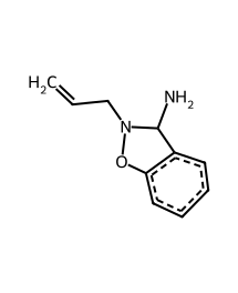 C=CCN1Oc2ccccc2C1N